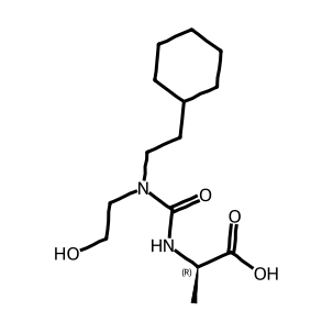 C[C@@H](NC(=O)N(CCO)CCC1CCCCC1)C(=O)O